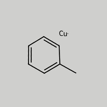 Cc1ccccc1.[Cu]